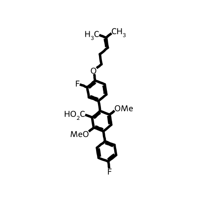 COc1cc(-c2ccc(F)cc2)c(OC)c(C(=O)O)c1-c1ccc(OCCC=C(C)C)c(F)c1